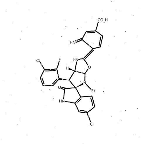 CCN1C2O/C(=C3\C=CC(C(=O)O)=CC3=N)N[C@H]2[C@H](c2cccc(Cl)c2F)[C@]12C(=O)Nc1cc(Cl)ccc12